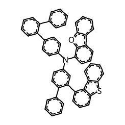 c1ccc(-c2ccccc2-c2ccc(N(c3ccc(-c4ccccc4)c(-c4cccc5sc6ccccc6c45)c3)c3cccc4c3oc3ccccc34)cc2)cc1